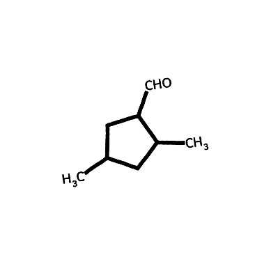 CC1CC(C)C(C=O)C1